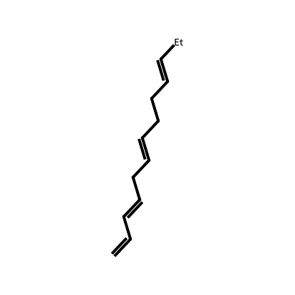 C=C/C=C/C/C=C/CC/C=C/CC